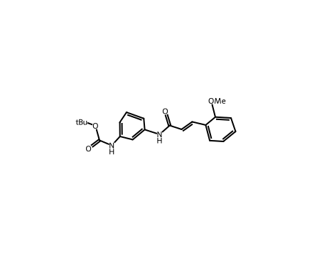 COc1ccccc1C=CC(=O)Nc1cccc(NC(=O)OC(C)(C)C)c1